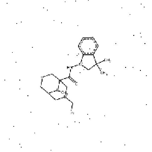 CC(C)CN1CC2C[CH]CC(C(=O)NN3CC(C)(C)c4ccccc43)(C1)N2C